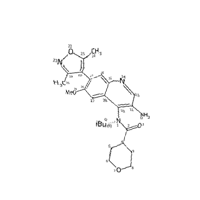 CC[C@@H](C)N(C(=O)C1CCOCC1)c1c(N)cnc2cc(-c3c(C)noc3C)c(OC)cc12